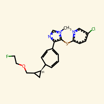 Cn1cnc(C2=CC=CC([C@H]3CC3COCCF)C=C2)c1Sc1ccc(Cl)cn1